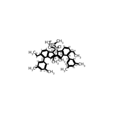 CCC1=Cc2c(ccc(CC)c2-c2cc(C)cc(C)c2)[CH]1[Zr]([Cl])([Cl])([CH]1C(CC)=Cc2c1ccc(CC)c2-c1cc(C)cc(C)c1)[SiH](C)C